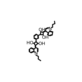 CCCCN1C=CC(=C2C(O)C(c3cccc(C4C(O)C(=C5C=CN(CCCC)c6ccccc65)C4O)c3)C2O)c2ccccc21